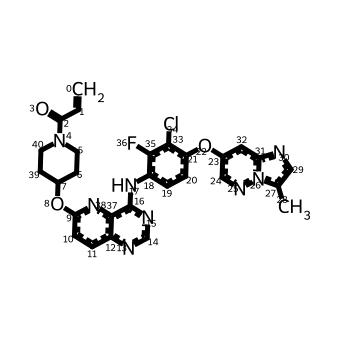 C=CC(=O)N1CCC(Oc2ccc3ncnc(Nc4ccc(Oc5cnn6c(C)cnc6c5)c(Cl)c4F)c3n2)CC1